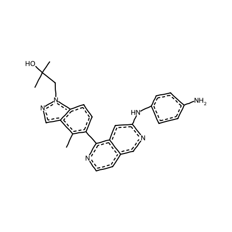 Cc1c(-c2nccc3cnc(Nc4ccc(N)cc4)cc23)ccc2c1cnn2CC(C)(C)O